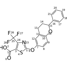 O=C(O)c1sc(Oc2ccc3c(c2)CCC(c2ccccc2)O3)nc1C(F)(F)F